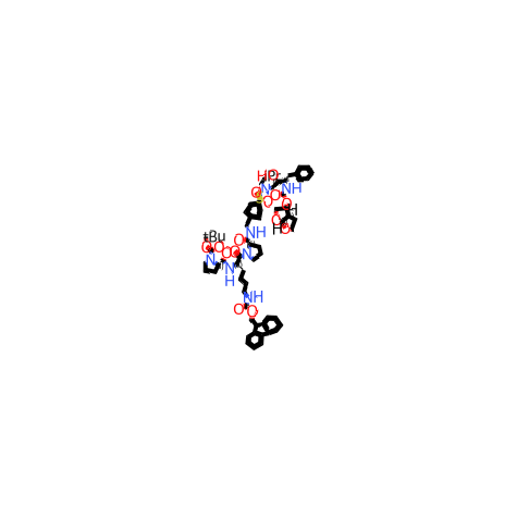 CC(C)CN(C[C@@H](O)[C@H](Cc1ccccc1)NC(=O)OC1CO[C@H]2OCC[C@@H]12)S(=O)(=O)c1ccc(CNC(=O)[C@@H]2CCCN2C(=O)[C@H](CCCCNC(=O)OCC2c3ccccc3-c3ccccc32)NC(=O)[C@@H]2CCCN2C(=O)OC(C)(C)C)cc1